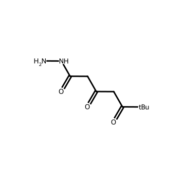 CC(C)(C)C(=O)CC(=O)CC(=O)NN